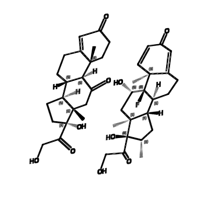 C[C@H]1C[C@H]2[C@@H]3CCC4=CC(=O)C=C[C@]4(C)[C@@]3(F)[C@@H](O)C[C@]2(C)[C@@]1(O)C(=O)CO.C[C@]12CCC(=O)C=C1CC[C@@H]1[C@@H]2C(=O)C[C@@]2(C)[C@H]1CC[C@]2(O)C(=O)CO